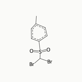 Cc1ccc(S(=O)(=O)C(Br)Br)cc1